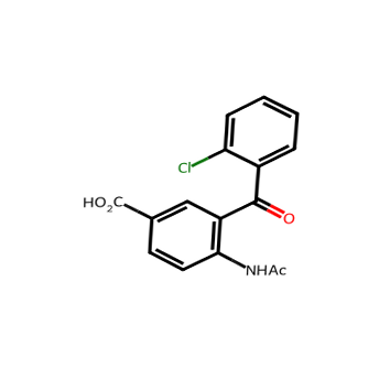 CC(=O)Nc1ccc(C(=O)O)cc1C(=O)c1ccccc1Cl